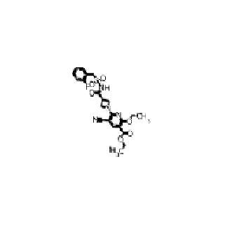 CCOC(=O)c1cc(C#N)c(N2CC(C(=O)NS(=O)(=O)Cc3ccccc3F)C2)nc1OCC